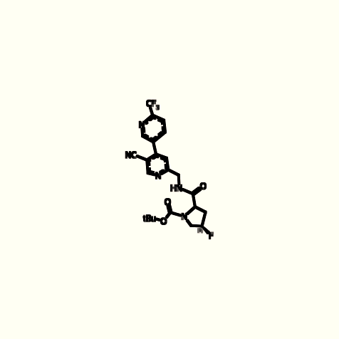 CC(C)(C)OC(=O)N1C[C@H](F)CC1C(=O)NCc1cc(-c2ccc(C(F)(F)F)nc2)c(C#N)cn1